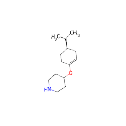 CC(C)[C@H]1CC=C(OC2CCNCC2)CC1